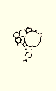 CO[C@@]1(CN2CCN(C(C)=O)CC2)/C=C/C[C@H](C)[C@@H](C)S(=O)(=O)NC(=O)c2ccc3c(c2)N(C[C@@H]2CC[C@H]21)C[C@@]1(CCCc2cc(Cl)ccc21)CO3